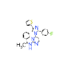 C[C@H](Nc1nccc(-n2cc(-c3cccs3)nc2-c2ccc(F)cc2)n1)c1ccccc1